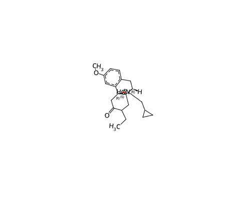 CCC1C[C@@]2(O)[C@H]3Cc4ccc(OC)cc4[C@@]2(CCN3CC2CC2)CC1=O